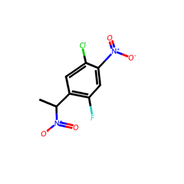 CC(c1cc(Cl)c([N+](=O)[O-])cc1F)[N+](=O)[O-]